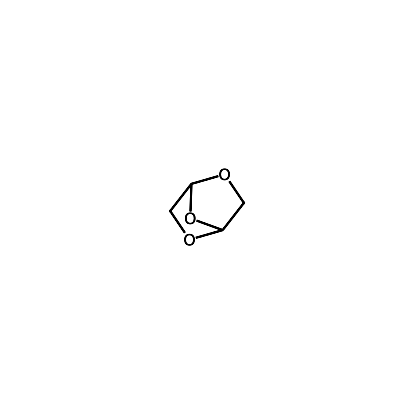 C1OC2COC1O2